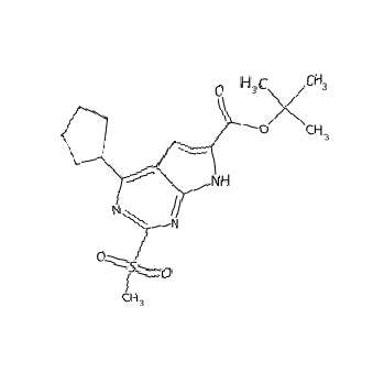 CC(C)(C)OC(=O)c1cc2c(C3CCCC3)nc(S(C)(=O)=O)nc2[nH]1